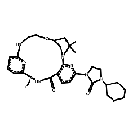 CC1(C)CC2CCCNc3cccc(n3)[S+]([O-])NC(=O)c3ccc(N4CCN(C5CCCCC5)C4=O)nc3N1C2